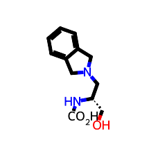 O=C(O)N[C@@H](CO)CN1Cc2ccccc2C1